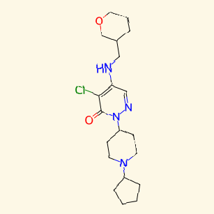 O=c1c(Cl)c(NCC2CCCOC2)cnn1C1CCN(C2CCCC2)CC1